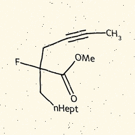 CC#CCC(F)(CCCCCCCC)C(=O)OC